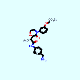 CCOC(=O)COc1cccc(N2CCO[C@H]([C@@H](OC(C)=O)C(=O)Nc3ccc(CN)cc3)C2=O)c1